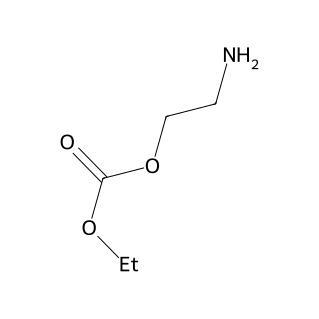 CCOC(=O)OCCN